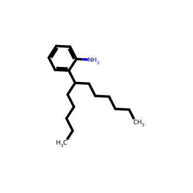 CCCCCCC(CCCCC)c1ccccc1N